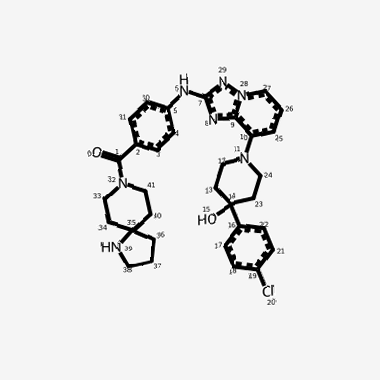 O=C(c1ccc(Nc2nc3c(N4CCC(O)(c5ccc(Cl)cc5)CC4)cccn3n2)cc1)N1CCC2(CCCN2)CC1